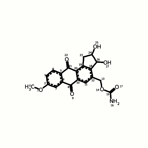 COc1ccc2c(c1)C(=O)c1cc(COC(N)=O)c3c(c1C2=O)CC(O)C3O